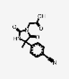 CC1(c2ccc(C#N)cc2)NC(=O)N(CC(=O)O)C1=O